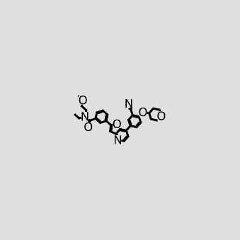 CCN(CCOC)C(=O)c1cccc(-c2cc3nccc(-c4ccc(OC5CCOCC5)c(C#N)c4)c3o2)c1